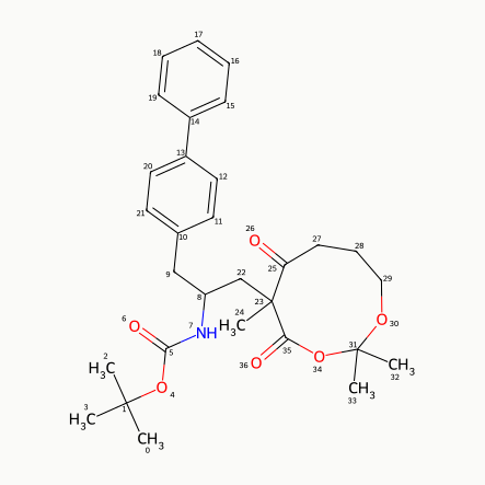 CC(C)(C)OC(=O)NC(Cc1ccc(-c2ccccc2)cc1)CC1(C)C(=O)CCCOC(C)(C)OC1=O